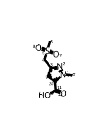 Cn1nc(CS(C)(=O)=O)cc1C(=O)O